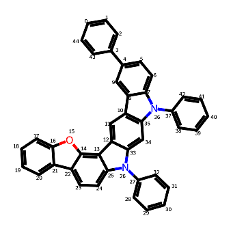 c1ccc(-c2ccc3c(c2)c2cc4c5c6oc7ccccc7c6ccc5n(-c5ccccc5)c4cc2n3-c2ccccc2)cc1